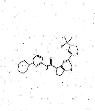 O=C(Nc1cccc(N2CCCOC2)n1)N1CCc2ccc(-c3cccc(C(F)(F)F)c3)nc21